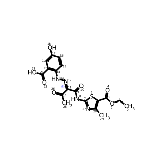 CCOC(=O)c1sc(NC(=O)/C(=N/Nc2ccc(O)cc2C(=O)O)C(C)=O)nc1C